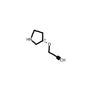 C#CCO[C@H]1CCNC1